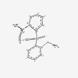 NCc1ncccc1S(=O)(=O)c1ccccc1[N+](=O)[O-]